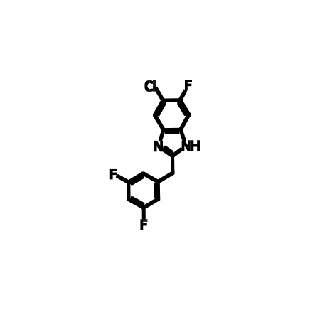 Fc1cc(F)cc(Cc2nc3cc(Cl)c(F)cc3[nH]2)c1